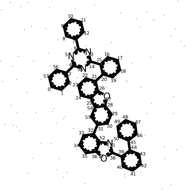 c1ccc(-c2nc(-c3ccccc3)nc(-c3ccccc3-c3cccc4c3oc3ccc(-c5cccc6oc(-c7ccccc7-c7ccccc7)nc56)cc34)n2)cc1